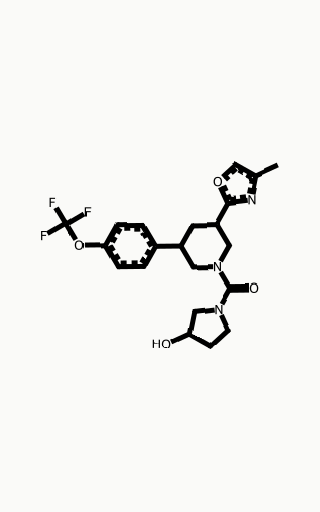 Cc1coc(C2CC(c3ccc(OC(F)(F)F)cc3)CN(C(=O)N3CCC(O)C3)C2)n1